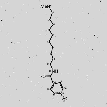 CNCCCCCCCCCCNC(=O)c1ccc(C(C)=O)cc1